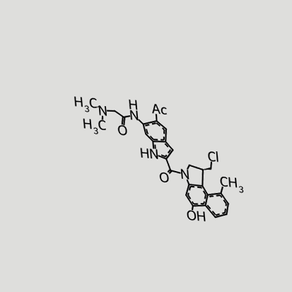 CC(=O)c1cc2cc(C(=O)N3C[C@@H](CCl)c4c3cc(O)c3cccc(C)c43)[nH]c2cc1NC(=O)CN(C)C